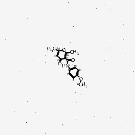 COc1ccc(NC(=O)c2c(C)oc(C)cc2=O)cc1